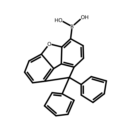 OB(O)c1ccc2c3c1oc1cccc(c13)C2(c1ccccc1)c1ccccc1